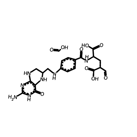 Nc1nc2c(c(=O)[nH]1)NC(CNc1ccc(C(=O)NC(CC(C=O)C(=O)O)C(=O)O)cc1)CN2.O=CO